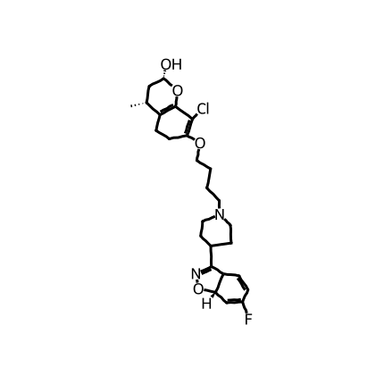 C[C@@H]1C[C@H](O)OC2=C1CCC(OCCCCN1CCC(C3=NO[C@H]4C=C(F)C=CC34)CC1)=C2Cl